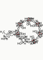 CCCC(OC(CCC)S(=O)(=O)O)S(=O)(=O)O.OC[C@H]1O[C@@H]2O[C@H]3[C@H](O)[C@@H](O)[C@@H](O[C@H]4[C@H](O)[C@@H](O)[C@@H](O[C@H]5[C@H](O)[C@@H](O)[C@@H](O[C@H]6[C@H](O)[C@@H](O)[C@@H](O[C@H]7[C@H](O)[C@@H](O)[C@@H](O[C@H]8[C@H](O)[C@@H](O)[C@@H](O[C@H]1[C@H](O)[C@H]2O)O[C@@H]8CO)O[C@@H]7CO)O[C@@H]6CO)O[C@@H]5CO)O[C@@H]4CO)O[C@@H]3CO